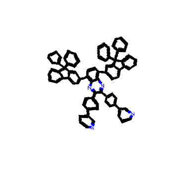 c1ccc(C2(c3ccccc3)c3ccccc3-c3ccc(-c4ccc(-c5ccc6c(c5)C(c5ccccc5)(c5ccccc5)c5ccccc5-6)c5nc(-c6ccc(-c7cccnc7)cc6)c(-c6ccc(-c7cccnc7)cc6)nc45)cc32)cc1